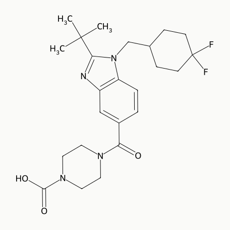 CC(C)(C)c1nc2cc(C(=O)N3CCN(C(=O)O)CC3)ccc2n1CC1CCC(F)(F)CC1